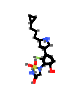 O=C1CN(c2c(O)ccc(C3=CC(CCCC4CC4)NC3)c2F)S(=O)(=O)N1